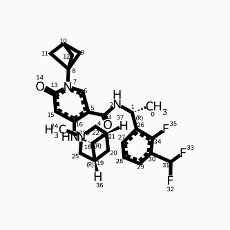 C[C@@H](NC(=O)c1cn(C23CC(C2)C3)c(=O)cc1N[C@H]1[C@@H]2C[C@H]1CN(C)C2)c1cccc(C(F)F)c1F